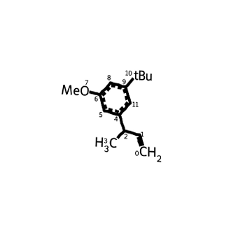 C=C[C](C)c1cc(OC)cc(C(C)(C)C)c1